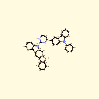 c1ccc(-n2c3ccccc3c3cc(-c4ccnc(-n5c6ccccc6c6cc7c(cc65)oc5ccccc57)n4)ccc32)cc1